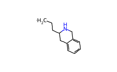 [CH2]CCC1Cc2ccccc2CN1